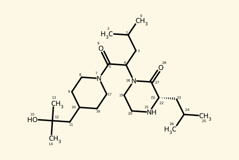 CC(C)CC(C(=O)N1CCC(CC(C)(C)O)CC1)N1CCN[C@@H](CC(C)C)C1=O